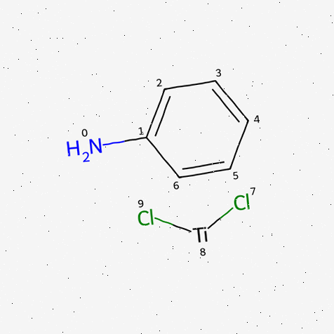 Nc1ccccc1.[Cl][Ti][Cl]